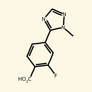 Cn1ncnc1-c1ccc(C(=O)O)c(F)c1